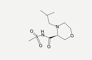 C[C](C)CN1CCOC[C@H]1C(=O)NS(C)(=O)=O